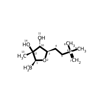 B[C@@H]1O[C@H](CCP(=C)(C)C)[C@@H](O)[C@@]1(C)O